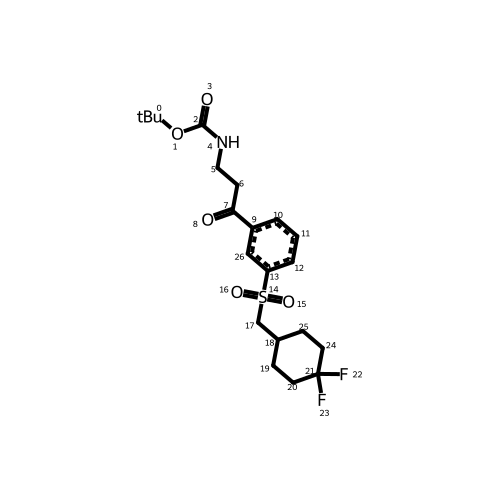 CC(C)(C)OC(=O)NCCC(=O)c1cccc(S(=O)(=O)CC2CCC(F)(F)CC2)c1